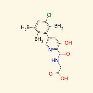 Bc1cc(Cl)c(B)c(-c2cnc(C(=O)NCC(=O)O)c(O)c2)c1B